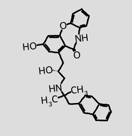 CC(C)(Cc1ccc2ccccc2c1)NC[C@H](O)Cc1cc(O)cc2c1C(=O)Nc1ccccc1O2